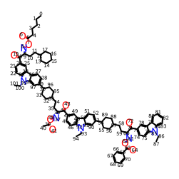 CCCCCC(=O)O/N=C(\CCC1CCCCC1)C(=O)c1ccc2c(c1)c1ccc(C3CCC(CC/C(=N\OC(C)=O)C(=O)c4ccc5c(c4)c4ccc(C6CCC(CC/C(=N\OC(=O)c7ccccc7)C(=O)c7ccc8c(c7)c7ccccc7n8CC)CC6)cc4n5CC)CC3)cc1n2CC